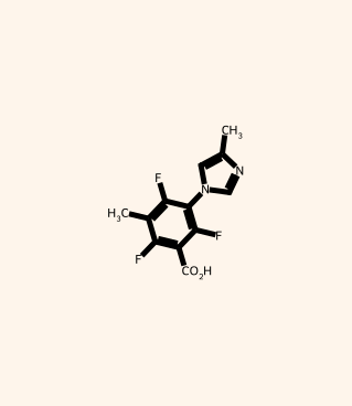 Cc1cn(-c2c(F)c(C)c(F)c(C(=O)O)c2F)cn1